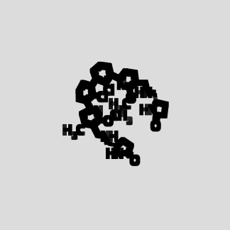 COc1nc(-c2cccc(-c3cccc(-c4cc(C)c(CNC[C@@H]5CCC(=O)N5)c(OC)n4)c3Cl)c2Cl)ccc1CNC[C@@H]1CCC(=O)N1